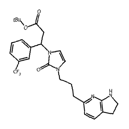 CC(C)(C)OC(=O)CC(c1cccc(C(F)(F)F)c1)n1ccn(CCCc2ccc3c(n2)NCC3)c1=O